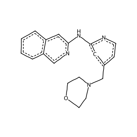 c1ccc2cc(Nc3cc(CN4CCOCC4)ccn3)ncc2c1